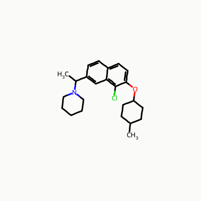 CC1CCC(Oc2ccc3ccc(C(C)N4CCCCC4)cc3c2Cl)CC1